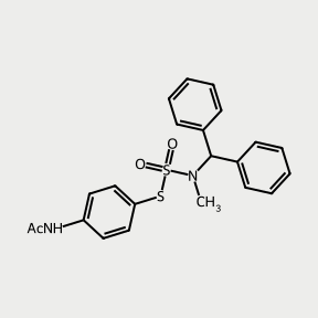 CC(=O)Nc1ccc(SS(=O)(=O)N(C)C(c2ccccc2)c2ccccc2)cc1